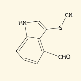 N#CSc1c[nH]c2cccc(C=O)c12